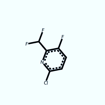 Fc1ccc(Cl)nc1C(F)F